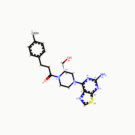 COc1ccc(CCC(=O)N2CCN(c3nc(N)nc4scnc34)C[C@H]2CO)cc1